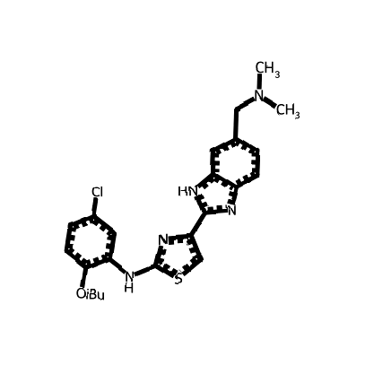 CC(C)COc1ccc(Cl)cc1Nc1nc(-c2nc3ccc(CN(C)C)cc3[nH]2)cs1